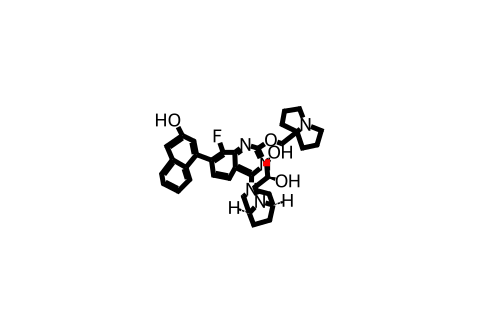 OC[C@@H](O)CN1[C@@H]2CC[C@H]1CN(c1nc(OCC34CCCN3CCC4)nc3c(F)c(-c4cc(O)cc5ccccc45)ccc13)C2